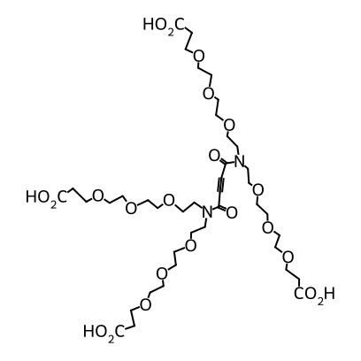 O=C(O)CCOCCOCCOCCN(CCOCCOCCOCCC(=O)O)C(=O)C#CC(=O)N(CCOCCOCCOCCC(=O)O)CCOCCOCCOCCC(=O)O